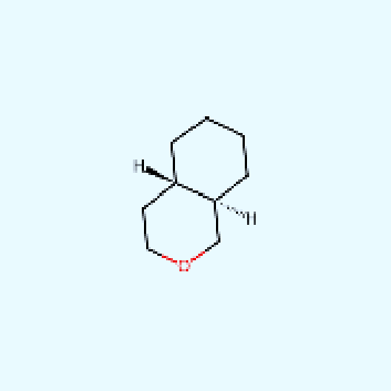 C1CC[C@H]2COCC[C@@H]2C1